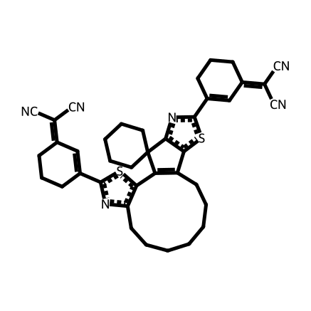 N#CC(C#N)=C1C=C(c2nc3c(s2)C2=C(CCCCCCC3)c3sc(C4=CC(=C(C#N)C#N)CCC4)nc3C23CCCCC3)CCC1